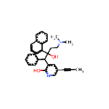 CC#Cc1cnc(O)c(C(c2ccccc2)C(O)(CCN(C)C)C2=C=C=Cc3ccccc32)c1